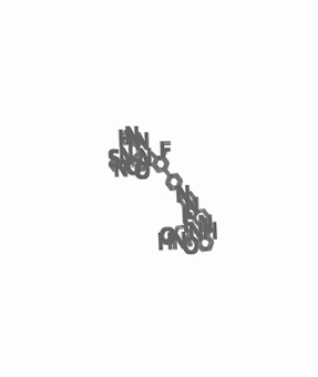 O=C1CCC(Nc2ccccc2CN2CCC(N3CCN(c4ccc(-c5cc(F)c6c(c5)C(=O)N(C(C(=O)Nc5nccs5)c5ncn7c5CCC7)C6)cc4)CC3)C(F)(F)C2)C(=O)N1